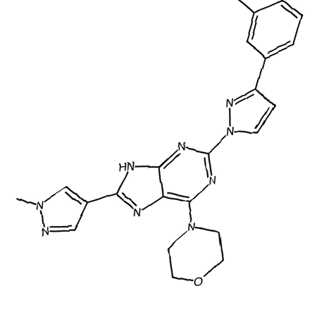 Cc1cccc(-c2ccn(-c3nc(N4CCOCC4)c4nc(-c5cnn(C)c5)[nH]c4n3)n2)c1